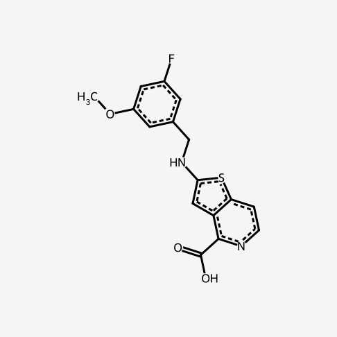 COc1cc(F)cc(CNc2cc3c(C(=O)O)nccc3s2)c1